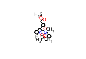 CCOC(=O)Cc1ccc(OC)c(-c2cc3ccccc3nc2CN(Cc2ccccc2)C(=O)OC(C)(C)C)c1